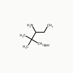 Br.CCC(N)C(C)(C)C